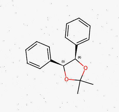 CC1(C)O[C@H](c2ccccc2)[C@H](c2ccccc2)O1